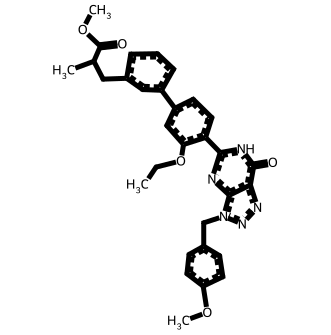 CCOc1cc(-c2cccc(CC(C)C(=O)OC)c2)ccc1-c1nc2c(nnn2Cc2ccc(OC)cc2)c(=O)[nH]1